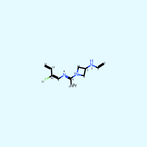 C=CNC1CN(/C(CCC)=N/C=C(/F)C=C)C1